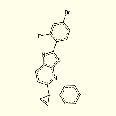 Fc1cc(Br)ccc1-c1nc2ccc(C3(c4ccccc4)C=C3)nc2s1